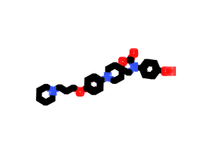 O=C1OC2(CCN(c3ccc(OCCCN4CCCCC4)cc3)CC2)CN1c1ccc(O)cc1